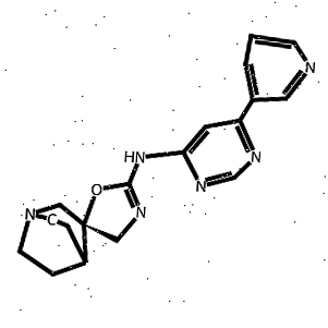 c1cncc(-c2cc(NC3=NC[C@@]4(CN5CCC4CC5)O3)ncn2)c1